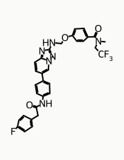 CN(CC(F)(F)F)C(=O)c1ccc(OCNc2nc3ccc(-c4ccc(NC(=O)Cc5ccc(F)cc5)cc4)cn3n2)cc1